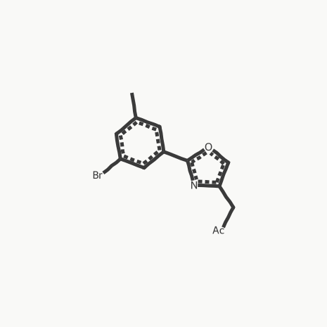 CC(=O)Cc1coc(-c2cc(C)cc(Br)c2)n1